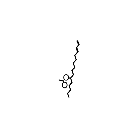 C=CC=CCCCCCCC(CCCCC)OC(C)=O